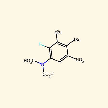 CC(C)(C)c1c([N+](=O)[O-])cc(N(C(=O)O)C(=O)O)c(F)c1C(C)(C)C